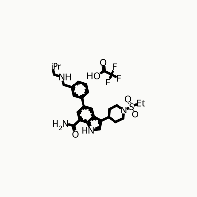 CCS(=O)(=O)N1CCC(c2c[nH]c3c(C(N)=O)cc(-c4cccc(CNCC(C)C)c4)cc23)CC1.O=C(O)C(F)(F)F